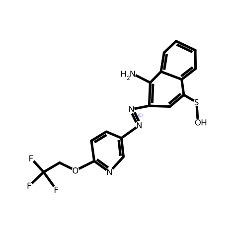 Nc1c(/N=N/c2ccc(OCC(F)(F)F)nc2)cc(SO)c2ccccc12